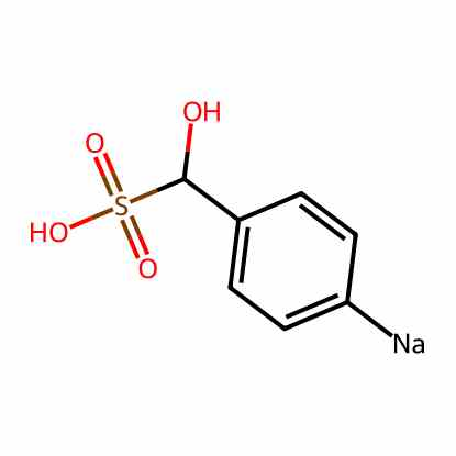 O=S(=O)(O)C(O)c1cc[c]([Na])cc1